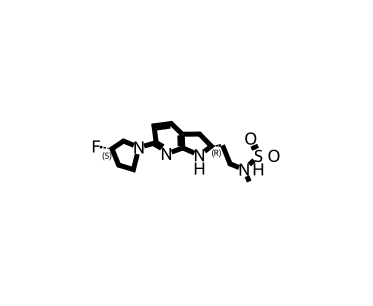 CN(CC[C@H]1Cc2ccc(N3CC[C@H](F)C3)nc2N1)[SH](=O)=O